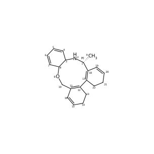 C[C@H]1NC2C=CC=CC2OCC2=C(CCC=C2)C2=C1C=CCC2